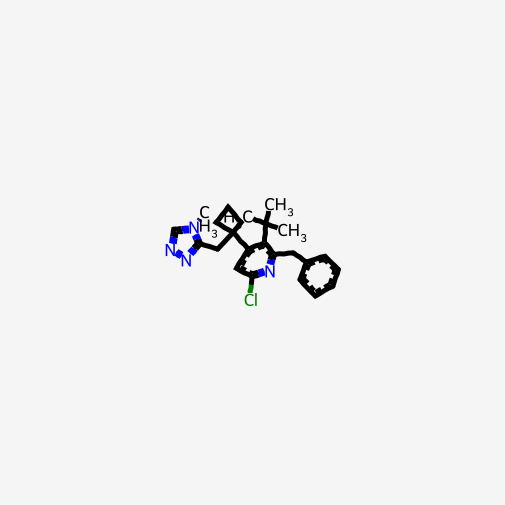 Cn1cnnc1CC1(c2cc(Cl)nc(Cc3ccccc3)c2C(C)(C)C)CCC1